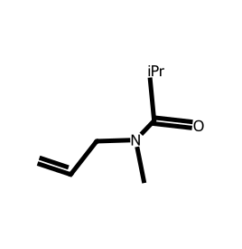 C=CCN(C)C(=O)C(C)C